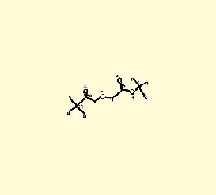 CC(C)(C)OC(=O)COCC(=O)C(C)(C)C